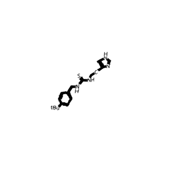 CC(C)(C)c1ccc(CNC(=S)NCCc2c[nH]cn2)cc1